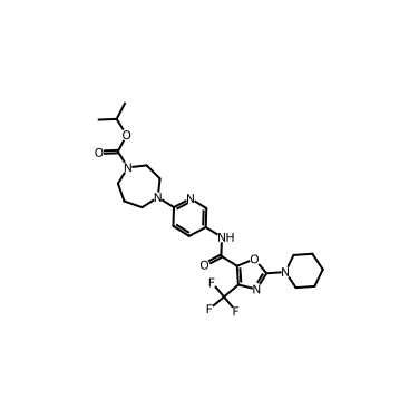 CC(C)OC(=O)N1CCCN(c2ccc(NC(=O)c3oc(N4CCCCC4)nc3C(F)(F)F)cn2)CC1